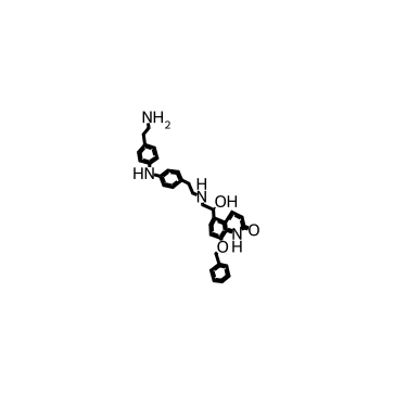 NCCc1ccc(Nc2ccc(CCNC[C@H](O)c3ccc(OCc4ccccc4)c4[nH]c(=O)ccc34)cc2)cc1